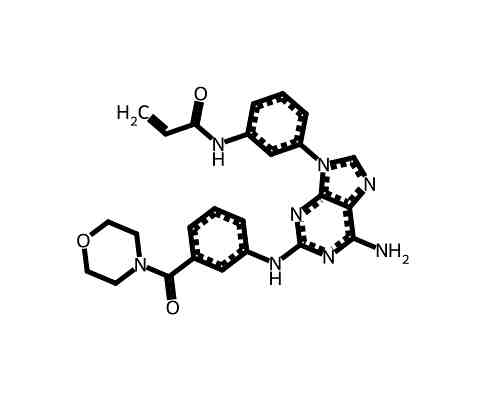 C=CC(=O)Nc1cccc(-n2cnc3c(N)nc(Nc4cccc(C(=O)N5CCOCC5)c4)nc32)c1